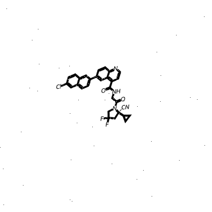 N#C[C@]1(C2CC2)CC(F)(F)CN1C(=O)CNC(=O)c1ccnc2ccc(-c3ccc4cc(Cl)ccc4c3)cc12